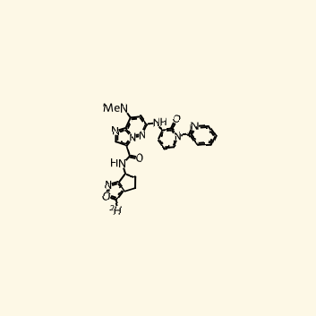 [2H]c1onc2c1CCC2NC(=O)c1cnc2c(NC)cc(Nc3cccn(-c4ccccn4)c3=O)nn12